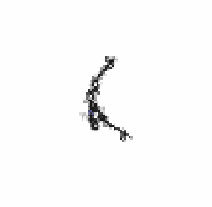 C=CC(=O)OCCCCCCOc1ccc(C(=O)Oc2ccc(C3(C)CCC(OC(=O)c4ccc(OCCCCCCOC(=O)C=C)cc4)CC3)cc2/C=N/Nc2nc3ccccc3s2)cc1